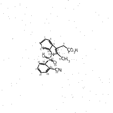 Cc1c(CC(=O)O)c2cccnc2n1S(=O)(=O)c1ccccc1C#N